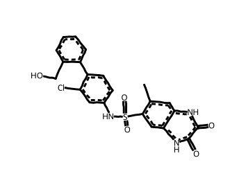 Cc1cc2[nH]c(=O)c(=O)[nH]c2cc1S(=O)(=O)Nc1ccc(-c2ccccc2CO)c(Cl)c1